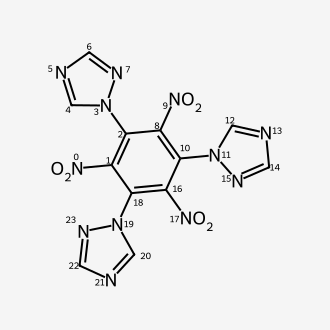 O=[N+]([O-])c1c(-n2cncn2)c([N+](=O)[O-])c(-n2cncn2)c([N+](=O)[O-])c1-n1cncn1